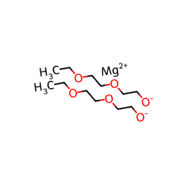 CCOCCOCC[O-].CCOCCOCC[O-].[Mg+2]